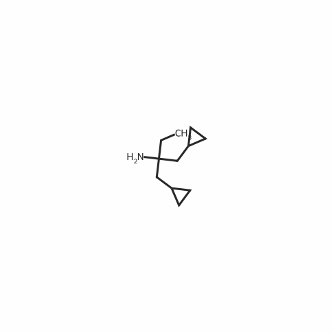 CCC(N)(CC1CC1)CC1CC1